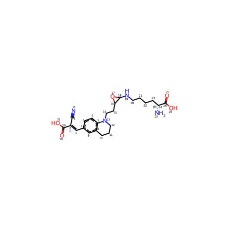 N#C/C(=C\c1ccc2c(c1)CCCN2CCC1OC1NCCCC[C@@H](N)C(=O)O)C(=O)O